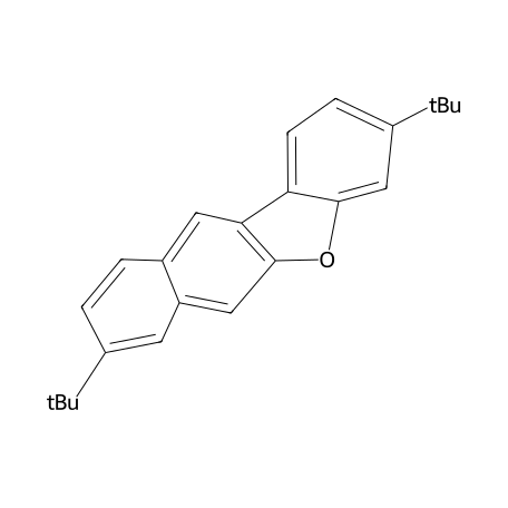 CC(C)(C)c1ccc2cc3c(cc2c1)oc1cc(C(C)(C)C)ccc13